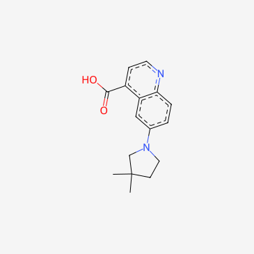 CC1(C)CCN(c2ccc3nccc(C(=O)O)c3c2)C1